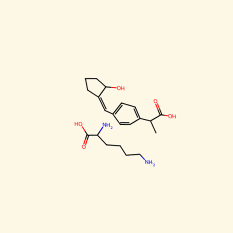 CC(C(=O)O)c1ccc(/C=C2/CCCC2O)cc1.NCCCCC(N)C(=O)O